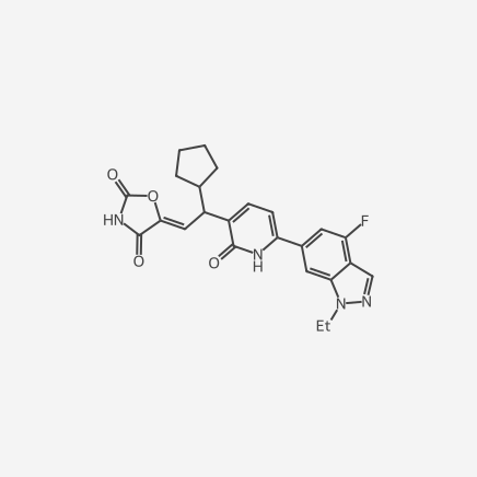 CCn1ncc2c(F)cc(-c3ccc(C(/C=C4\OC(=O)NC4=O)C4CCCC4)c(=O)[nH]3)cc21